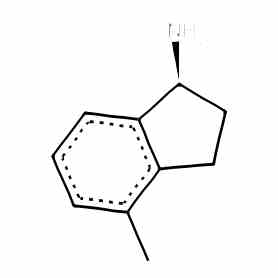 Cc1cccc2c1CC[C@@H]2N